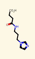 O=C(O)CCC(=O)NCCCn1ccnc1